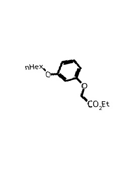 CCCCCCOc1cccc(OCC(=O)OCC)c1